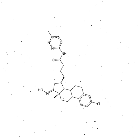 Cc1ccc(NC(=O)CCC[C@@H]2C/C(=N\O)[C@@]3(C)CCC4c5ccc(Cl)cc5CCC4C23)nn1